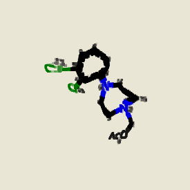 CC(=O)OCN1CCN(c2cccc(Cl)c2Cl)CC1